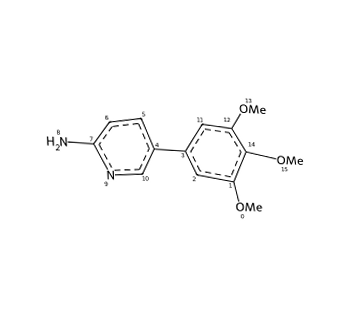 COc1cc(-c2ccc(N)nc2)cc(OC)c1OC